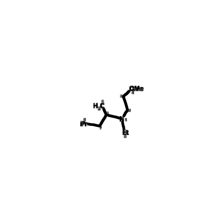 CCN(CCOC)C(C)CC(C)C